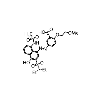 CCN(CC)S(=O)(=O)c1cc(N=Nc2ccc(OCCOC)c(S(=O)O)c2)c2c(NS(C)(=O)=O)cccc2c1O